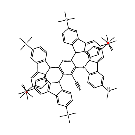 C[SiH](C)c1ccc2c(c1)c1cc([Si](C)(C)C)ccc1n2-c1c(C2c3ccc([Si](C)(C)C)cc3-c3cc([Si](C)(C)C)cnc32)cc(-n2c3ccc([Si](C)(C)C)cc3c3cc([Si](C)(C)C)ccc32)c(-n2c3ccc([Si](C)(C)C)cc3c3cc([Si](C)(C)C)ccc32)c1C#N